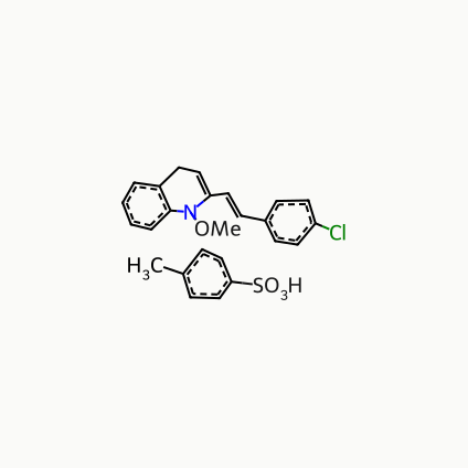 CON1C(C=Cc2ccc(Cl)cc2)=CCc2ccccc21.Cc1ccc(S(=O)(=O)O)cc1